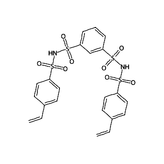 C=Cc1ccc(S(=O)(=O)NS(=O)(=O)c2cccc(S(=O)(=O)NS(=O)(=O)c3ccc(C=C)cc3)c2)cc1